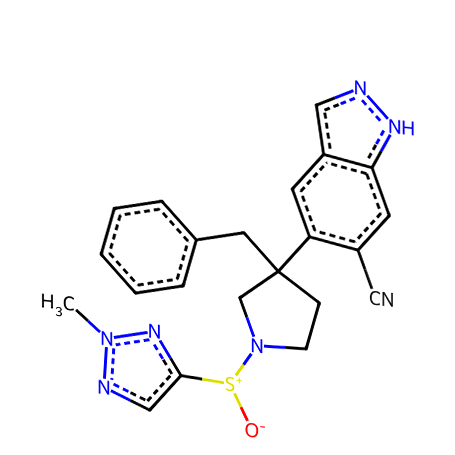 Cn1ncc([S+]([O-])N2CCC(Cc3ccccc3)(c3cc4cn[nH]c4cc3C#N)C2)n1